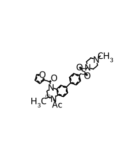 CC(=O)N1c2ccc(-c3ccc(S(=O)(=O)N4CCN(C)CC4)cc3)cc2N(C(=O)c2ccco2)C[C@@H]1C